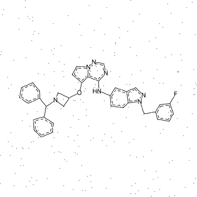 Fc1cccc(Cn2ncc3cc(Nc4ncnn5ccc(OC6CN(C(c7ccccc7)c7ccccc7)C6)c45)ccc32)c1